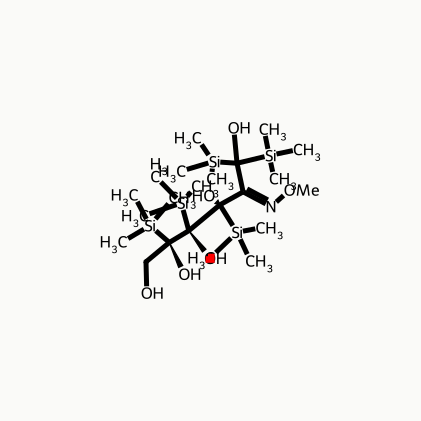 CON=C(C(O)([Si](C)(C)C)[Si](C)(C)C)[C@@](O)([C@](O)([C@](O)(CO)[Si](C)(C)C)[Si](C)(C)C)[Si](C)(C)C